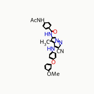 COc1cccc(Oc2ccc(Nc3c(C#N)cnn4cc(NC(=O)c5ccc(NC(C)=O)cc5)c(C)c34)cc2)c1